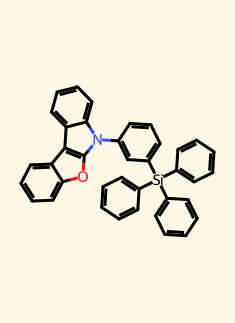 c1ccc([Si](c2ccccc2)(c2ccccc2)c2cccc(-n3c4ccccc4c4c5ccccc5oc43)c2)cc1